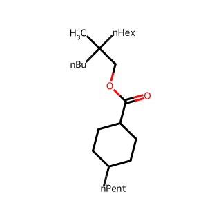 CCCCCCC(C)(CCCC)COC(=O)C1CCC(CCCCC)CC1